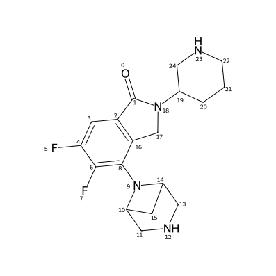 O=C1c2cc(F)c(F)c(N3C4CNCC3C4)c2CN1C1CCCNC1